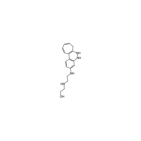 OCCNCCNc1ccc2c(c1)NNC1=C2C=CC=CC1